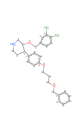 Clc1ccc(COC2CNCCC2c2ccc(OCCCOCc3ccccc3)cc2)cc1Cl